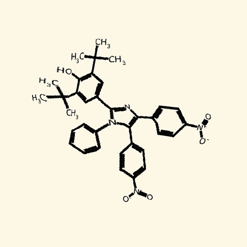 CC(C)(C)c1cc(-c2nc(-c3ccc([N+](=O)[O-])cc3)c(-c3ccc([N+](=O)[O-])cc3)n2-c2ccccc2)cc(C(C)(C)C)c1O